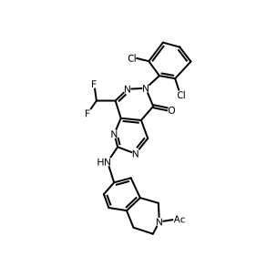 CC(=O)N1CCc2ccc(Nc3ncc4c(=O)n(-c5c(Cl)cccc5Cl)nc(C(F)F)c4n3)cc2C1